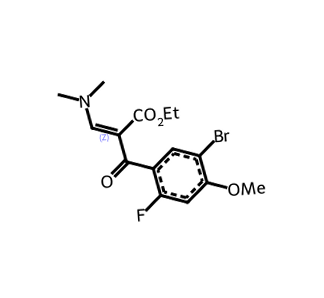 CCOC(=O)/C(=C\N(C)C)C(=O)c1cc(Br)c(OC)cc1F